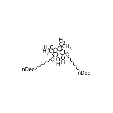 CCCCCCCCCCCCCCCCCCOc1cc2c(cc1O)C1(CC2(C)C)CC(C)(C)c2cc(OCCCCCCCCCCCCCCCCCC)c(O)cc21